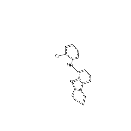 Clc1ccccc1Nc1cccc2c1oc1ccccc12